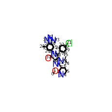 COc1ncccc1-c1nc2c(n1C(C)C)[C@@H](c1ccc(Cl)cc1)N(c1cc(C)c3nnn(C)c3c1)C2=O